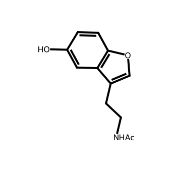 CC(=O)NCCc1coc2ccc(O)cc12